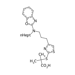 CCCCCCCN(CCCc1csc(SC(C)(C)C(=O)O)n1)c1nc2ccccc2o1